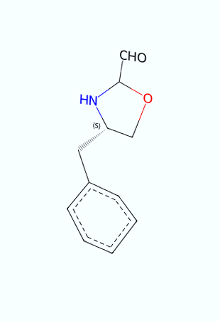 O=CC1N[C@@H](Cc2ccccc2)CO1